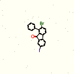 O=C1c2cc(I)ccc2-c2ccc(Br)c(-c3ccccc3)c21